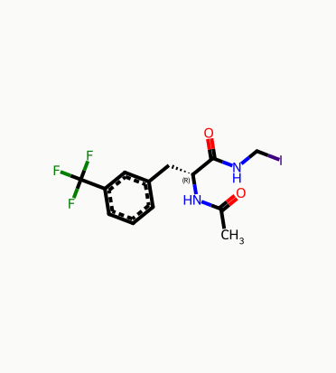 CC(=O)N[C@H](Cc1cccc(C(F)(F)F)c1)C(=O)NCI